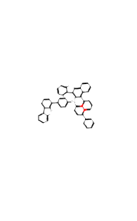 c1ccc(-c2ccc(N(c3ccc(-c4cccc5c4sc4ccccc45)cc3)c3c(-c4ccccc4)c4ccccc4c4oc5ccccc5c34)cc2)cc1